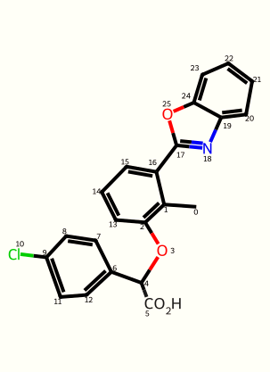 Cc1c(OC(C(=O)O)c2ccc(Cl)cc2)cccc1-c1nc2ccccc2o1